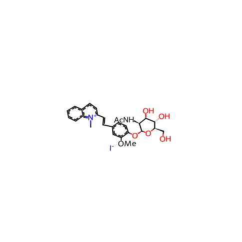 COc1cc(C=Cc2ccc3ccccc3[n+]2C)ccc1O[C@@H]1O[C@H](CO)[C@@H](O)[C@H](O)[C@@H]1NC(C)=O.[I-]